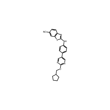 N#Cc1ccc2nc(Nc3ccc(-c4cnc(OCC5CCCC5)nc4)cc3)sc2c1